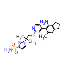 Cc1cc2c(c(N)c1-c1ccnc(OCC(C)(C)n3ccc(S(N)(=O)=O)n3)c1)CCC2